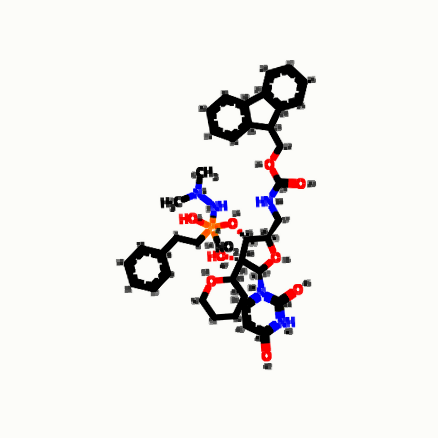 CN(C)NP(O)(CCc1ccccc1)(O[C@@H]1[C@@H](CNC(=O)OCC2c3ccccc3-c3ccccc32)O[C@@H](n2ccc(=O)[nH]c2=O)[C@@]1(O)C1CCCCO1)[N+](=O)[O-]